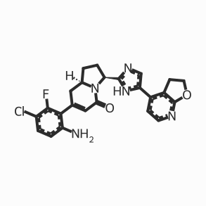 Nc1ccc(Cl)c(F)c1C1=CC(=O)N2[C@H](CC[C@H]2c2ncc(-c3ccnc4c3CCO4)[nH]2)C1